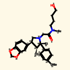 CCCCN(CCCCO)C(=O)CN1C[C@H](c2ccc3c(c2)OCO3)[C@@H](C(=O)O)[C@@]1(CC)c1ccc(OC)cc1